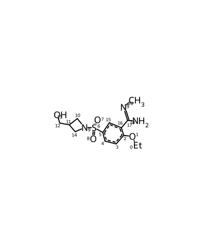 CCOc1ccc(S(=O)(=O)N2CC(CO)C2)cc1/C(N)=N/C